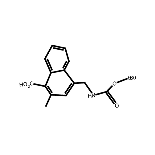 Cc1cc(CNC(=O)OC(C)(C)C)c2ccccc2c1C(=O)O